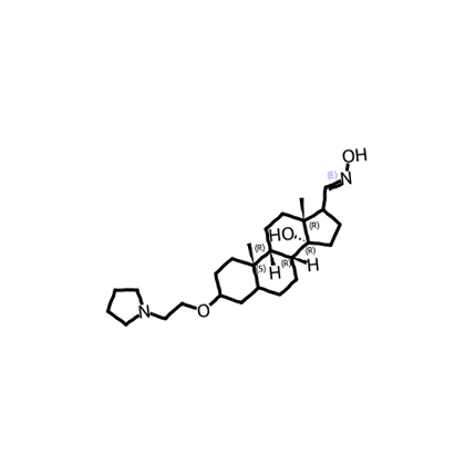 C[C@]12CCC(OCCN3CCCC3)CC1CC[C@@H]1[C@H]2CC[C@]2(C)C(/C=N/O)CC[C@@]12O